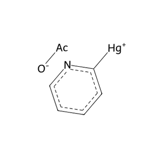 CC(=O)[O-].[Hg+][c]1ccccn1